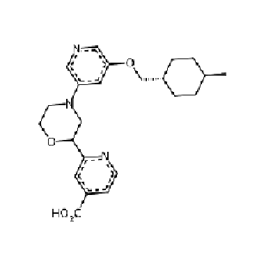 C[C@H]1CC[C@H](COc2cncc(N3CCOC(c4cc(C(=O)O)ccn4)C3)c2)CC1